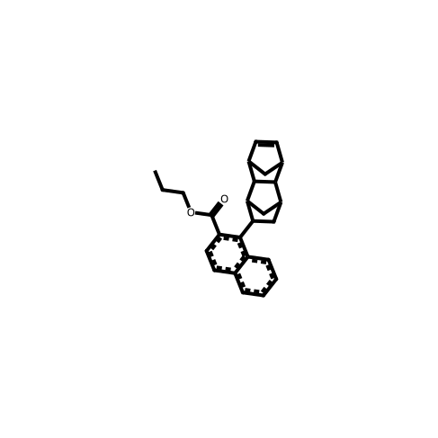 CCCOC(=O)c1ccc2ccccc2c1C1CC2CC1C1C3C=CC(C3)C21